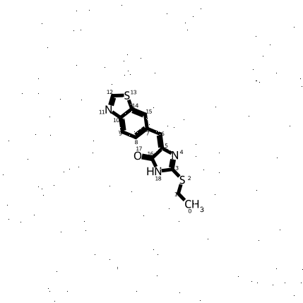 CCSC1=NC(=Cc2ccc3ncsc3c2)C(=O)N1